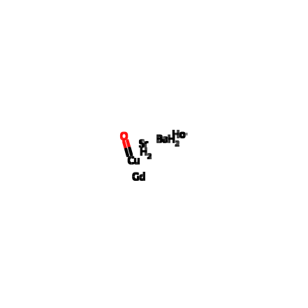 [BaH2].[Gd].[Ho].[O]=[Cu].[SrH2]